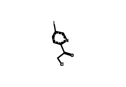 O=C(CCl)c1ccc(I)cn1